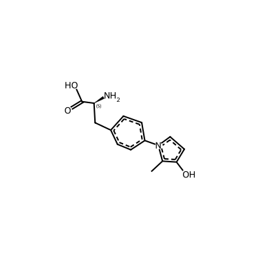 Cc1c(O)ccn1-c1ccc(C[C@H](N)C(=O)O)cc1